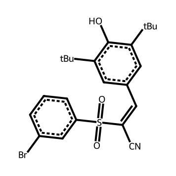 CC(C)(C)c1cc(C=C(C#N)S(=O)(=O)c2cccc(Br)c2)cc(C(C)(C)C)c1O